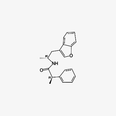 C[C@H](Cc1coc2ccccc12)NC(=O)[C@H](C)c1ccccc1